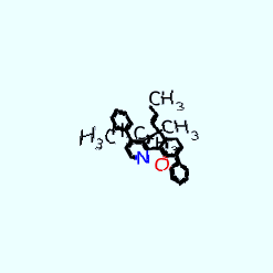 CCC=CC(C)(C(C)C)C1CC=c2c(oc3ccccc23)=C1c1cc(-c2ccccc2C)ccn1